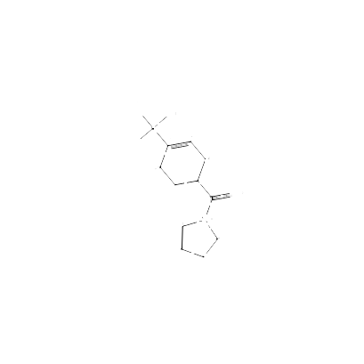 CCC(C)(C)C1=CCC(C(=O)N2CCCC2)CC1